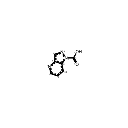 O=C(O)n1ncc2ncccc21